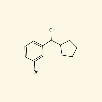 OC(c1cccc(Br)c1)C1CCCC1